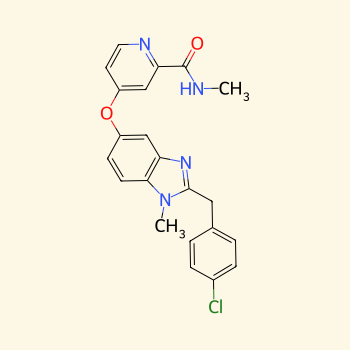 CNC(=O)c1cc(Oc2ccc3c(c2)nc(Cc2ccc(Cl)cc2)n3C)ccn1